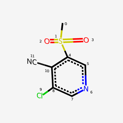 CS(=O)(=O)c1cncc(Cl)c1C#N